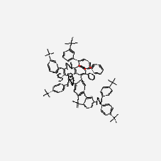 CC(C)(C)c1ccc(N2B3c4sc5ccc(C(C)(C)C)cc5c4N(c4ccc(C(C)(C)C)cc4-c4ccccc4)c4cc5c(oc6ccccc65)c(c43)-c3cc4c(cc32)C(C)(C)c2ccc(N(c3ccc(C(C)(C)C)cc3)c3ccc(C(C)(C)C)cc3)cc2-4)cc1